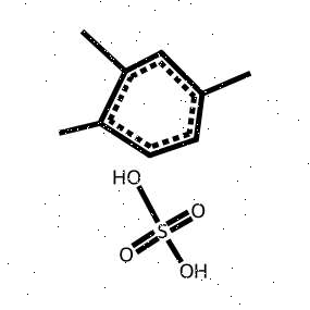 Cc1ccc(C)c(C)c1.O=S(=O)(O)O